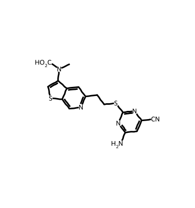 CN(C(=O)O)c1csc2cnc(CCSc3nc(N)cc(C#N)n3)cc12